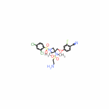 CC1N(S(=O)(=O)c2ccc(Cl)cc2Cl)CC1(COc1ccc(C#N)c(F)c1)N(C)S(=O)(=O)CCN